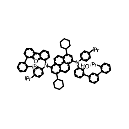 CC(C)c1ccc(N(c2cccc(-c3cccc(-c4ccccc4C(C)C)c3)c2O)c2cc(C3CCCCC3)c3ccc4c(N(c5ccc(C(C)C)cc5)c5cccc6c5oc5c(-c7ccccc7C(C)C)cccc56)cc(C5CCCCC5)c5ccc2c3c54)cc1